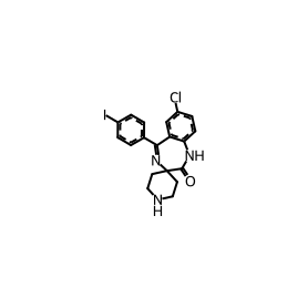 O=C1Nc2ccc(Cl)cc2C(c2ccc(I)cc2)=NC12CCNCC2